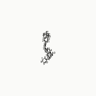 CN1CN(Cc2ccccc2)CC2=C1CCN(CC#Cc1ccc(C(F)(F)F)cc1)C2